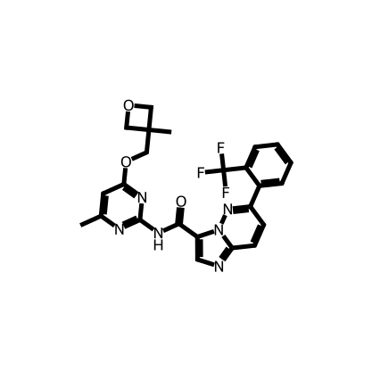 Cc1cc(OCC2(C)COC2)nc(NC(=O)c2cnc3ccc(-c4ccccc4C(F)(F)F)nn23)n1